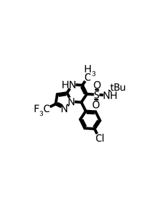 CC1=C(S(=O)(=O)NC(C)(C)C)C(c2ccc(Cl)cc2)n2nc(C(F)(F)F)cc2N1